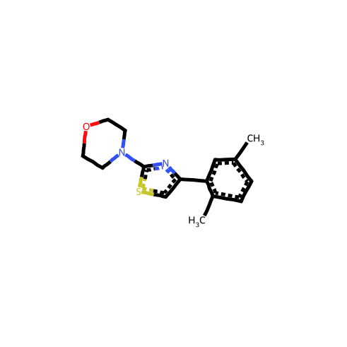 Cc1ccc(C)c(-c2csc(N3CCOCC3)n2)c1